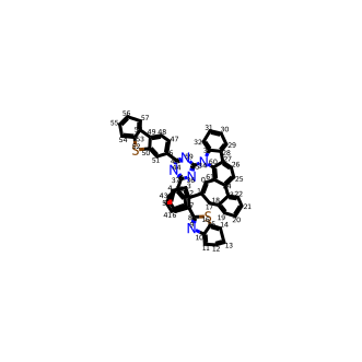 C1=C(c2ccccc2-c2nc3ccccc3s2)Cc2ccccc2-c2ccc3c4ccccc4n(-c4nc(-c5ccccc5)nc(-c5ccc6c(c5)sc5ccccc56)n4)c3c21